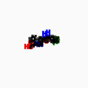 O=C(O)CC(c1ccccc1)n1cnc2cc(NC(=O)Nc3ccc(C(F)(F)F)cc3)ccc21